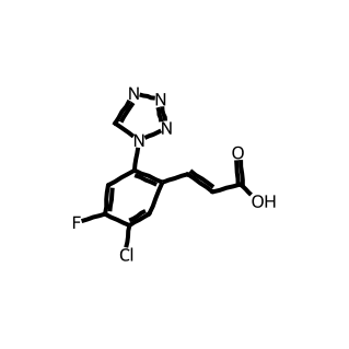 O=C(O)C=Cc1cc(Cl)c(F)cc1-n1cnnn1